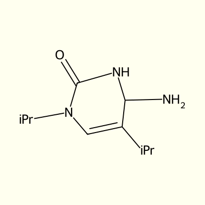 CC(C)C1=CN(C(C)C)C(=O)NC1N